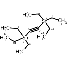 C[CH2][Sn]([C]#[C][Sn]([CH2]C)([CH2]C)[CH2]C)([CH2]C)[CH2]C